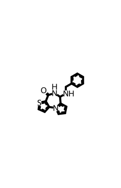 O=C1NC(NCc2ccccc2)c2cccn2-c2ccsc21